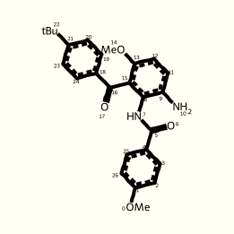 COc1ccc(C(=O)Nc2c(N)ccc(OC)c2C(=O)c2ccc(C(C)(C)C)cc2)cc1